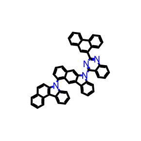 c1cc(-n2c3ccccc3c3c4ccccc4ccc32)c2cc3c4ccccc4n(-c4nc(-c5cc6ccccc6c6ccccc56)nc5ccccc45)c3cc2c1